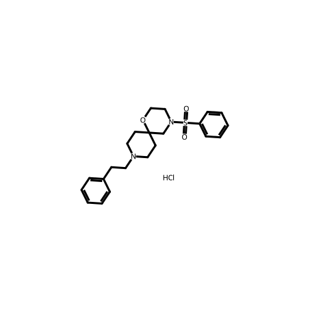 Cl.O=S(=O)(c1ccccc1)N1CCOC2(CCN(CCc3ccccc3)CC2)C1